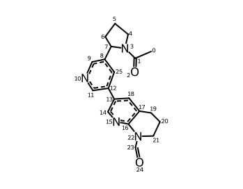 CC(=O)N1CCCC1c1cncc(-c2cnc3c(c2)CCCN3C=O)c1